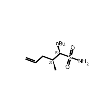 C=CC[C@H](C)[C@@H](CCCC)S(N)(=O)=O